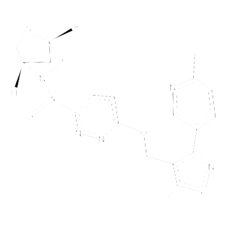 Cc1ccc(-c2noc(C)c2COc2ccc(C(=O)N3C[C@@H]4C[C@H]3CO4)nn2)cn1